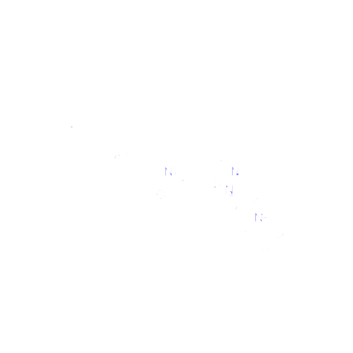 O=c1cc(OCC2CCCCCC2)ccn1-c1ccc2c(cnn2CCN2CCCC2)c1